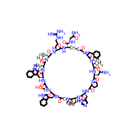 CCCC[C@H]1C(=O)N(C)[C@@H](CCCC)C(=O)N[C@@H](CCCNC(=N)N)C(=O)N[C@H](C(=O)NCC(N)=O)CSCC(=O)NC(Cc2ccccc2)C(=O)N(C)[C@@H](C)C(=O)N[C@@H](CC(N)=O)C(=O)N2CCCC2C(=O)N[C@@H](Cc2cnc[nH]2)C(=O)N[C@@H](CC(C)C)C(=O)N(C)CC(=O)N[C@@H](Cc2c[nH]c3ccccc23)C(=O)N[C@@H](CO)C(=O)N[C@@H](Cc2c[nH]c3ccccc23)C(=O)N1C